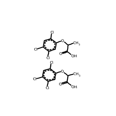 CC(Oc1cc(Cl)c(Cl)cc1Cl)C(=O)O.CC(Oc1cc(Cl)c(Cl)cc1Cl)C(=O)O